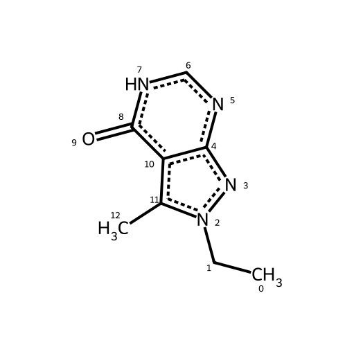 CCn1nc2nc[nH]c(=O)c2c1C